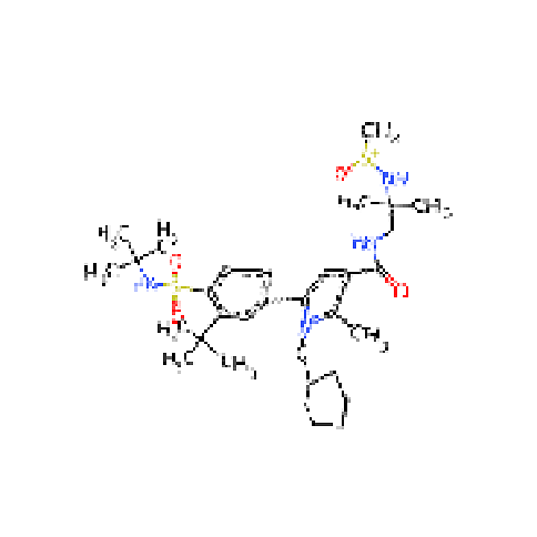 Cc1c(C(=O)NCC(C)(C)N[S+](C)[O-])cc(-c2ccc(S(=O)(=O)NC(C)(C)C)c(C(C)(C)C)c2)n1CC1CCCCC1